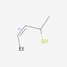 CC/C=C\C(C)S